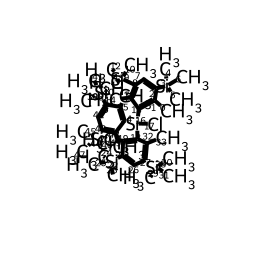 Cc1c([Si](C)(C)C)cc([Si](C)(C)C)c(C)c1[Si](Cl)(c1c(C)c([Si](C)(C)C)cc([Si](C)(C)C)c1C)c1c(C)c([Si](C)(C)C)cc([Si](C)(C)C)c1C